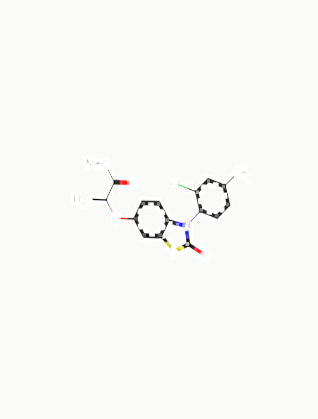 COC(=O)C(C)Oc1ccc2c(c1)sc(=O)n2-c1ccc(C(F)(F)F)cc1Cl